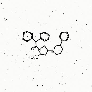 O=C(O)[C@@H]1C[C@H](N2CCCC(c3ccccc3)C2)CN1C(=O)C(c1ccccc1)c1ccccc1